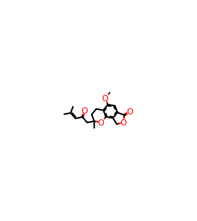 COc1cc2c(c3c1CCC(C)(CC(=O)C=C(C)C)O3)COC2=O